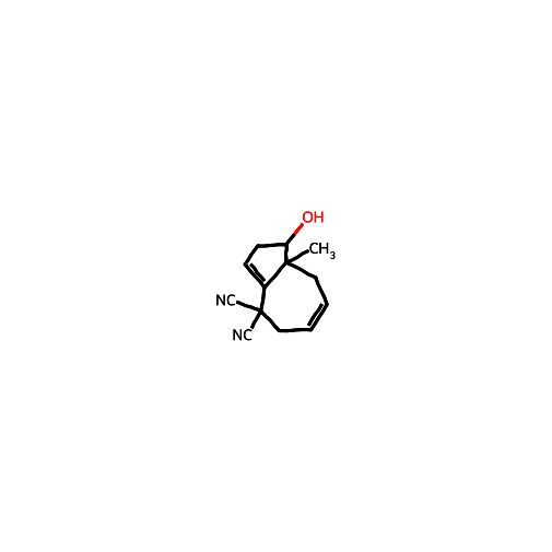 CC12CC=CCC(C#N)(C#N)C1=CCC2O